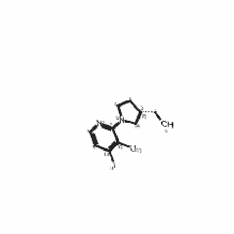 OC[C@H]1CCN(c2nccc(I)c2Cl)C1